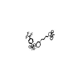 CN(C[C@H]1CC[C@H](CCCCOS(C)(=O)=O)CC1)S(=O)(=O)c1ccc(C(F)(F)F)cc1